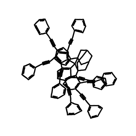 C(#Cc1cccc(C23CC4CC(C2)CC(c2cccc(C#Cc5ccccc5)c2C#Cc2ccccc2)(C4)C3(c2cccc(C#Cc3ccccc3)c2C#Cc2ccccc2)c2cccc(C#Cc3ccccc3)c2C#Cc2ccccc2)c1C#Cc1ccccc1)c1ccccc1